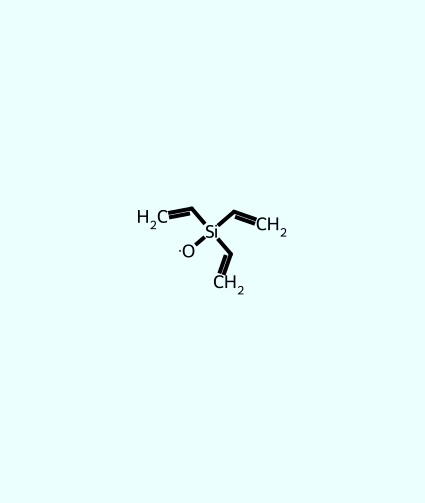 C=C[Si]([O])(C=C)C=C